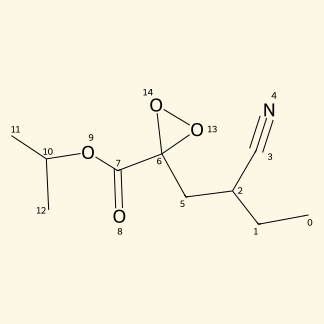 CCC(C#N)CC1(C(=O)OC(C)C)OO1